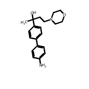 CC(O)(CCN1CCOCC1)c1ccc(-c2ccc(N)cc2)cc1